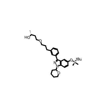 C[C@@H](O)CCOCCCc1cccc(-c2nn(C3CCCCO3)c3ccc(O[Si](C)(C)C(C)(C)C)cc23)c1